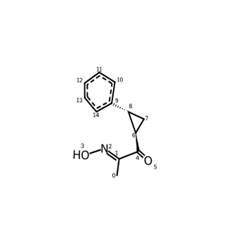 CC(=NO)C(=O)[C@@H]1C[C@H]1c1ccccc1